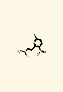 CN(C)C=Cc1nc(Cl)ccc1[N+](=O)[O-]